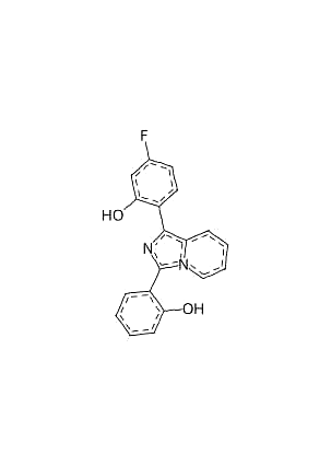 Oc1cc(F)ccc1-c1nc(-c2ccccc2O)n2ccccc12